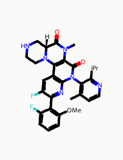 COc1cccc(F)c1-c1nc2c(cc1F)c1c(c(=O)n2-c2c(C)ccnc2C(C)C)N(C)C(=O)[C@H]2CNCCN12